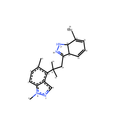 Cc1ccc2c(cnn2C)c1C(C)(C)CC1=NNC2C(C(C)(C)C)=CC=CC12